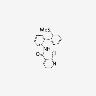 CSc1ccccc1-c1ccccc1NC(=O)c1cccnc1Cl